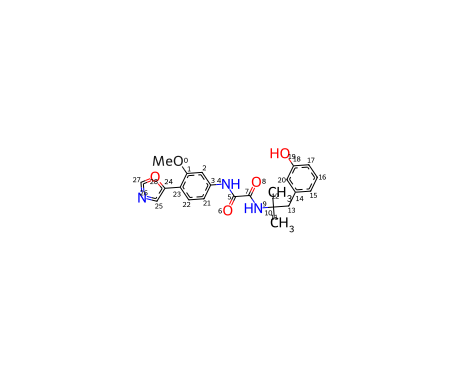 COc1cc(NC(=O)C(=O)NC(C)(C)Cc2cccc(O)c2)ccc1-c1cnco1